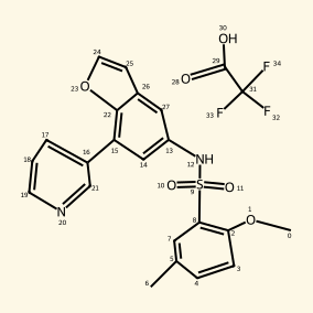 COc1ccc(C)cc1S(=O)(=O)Nc1cc(-c2cccnc2)c2occc2c1.O=C(O)C(F)(F)F